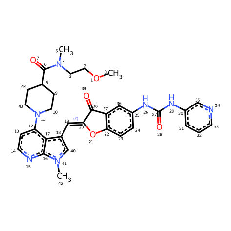 COCCN(C)C(=O)C1CCN(c2ccnc3c2c(/C=C2\Oc4ccc(NC(=O)Nc5cccnc5)cc4C2=O)cn3C)CC1